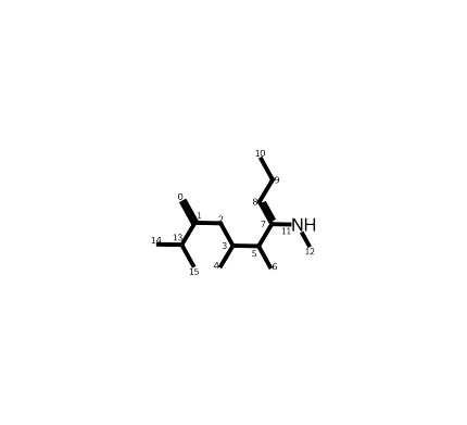 C=C(CC(C)C(C)/C(=C/CC)NC)C(C)C